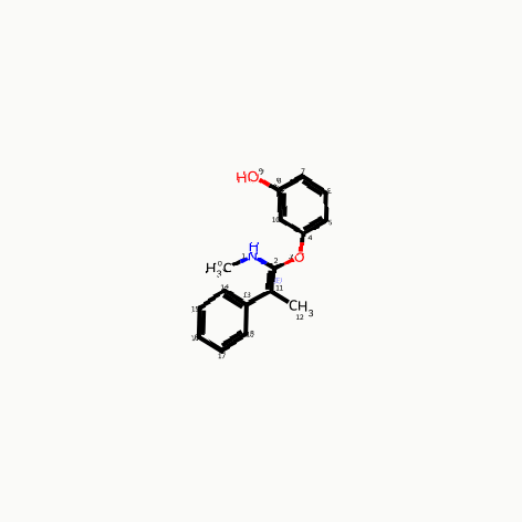 CN/C(Oc1cccc(O)c1)=C(/C)c1ccccc1